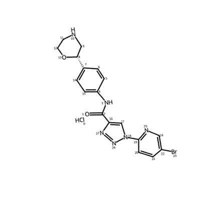 Cl.O=C(Nc1ccc([C@H]2CNCCO2)cc1)c1cn(-c2ccc(Br)cn2)nn1